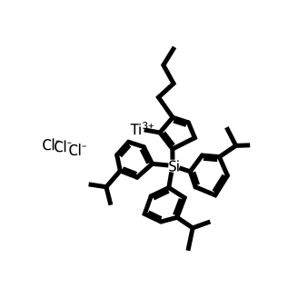 CCCCC1=CCC([Si](c2cccc(C(C)C)c2)(c2cccc(C(C)C)c2)c2cccc(C(C)C)c2)=[C]1[Ti+3].[Cl-].[Cl-].[Cl-]